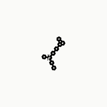 c1ccc(-c2ccc(-c3cc(-c4ccc(-c5ccc(-c6cc7c8c(cccc8c6)-c6ccccc6-7)cc5)cc4)nc(-c4ccccc4)n3)cc2)cc1